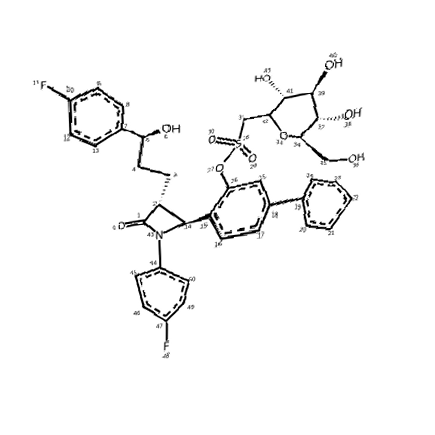 O=C1[C@H](CC[C@H](O)c2ccc(F)cc2)[C@@H](c2ccc(-c3ccccc3)cc2OS(=O)(=O)CC2O[C@H](CO)[C@@H](O)[C@H](O)[C@H]2O)N1c1ccc(F)cc1